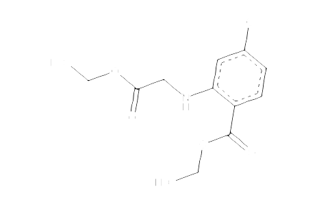 CCOC(=O)CNc1cc(Cl)ccc1C(=O)OCC